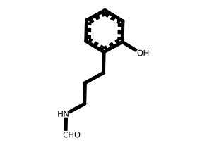 O=CN[CH]CCc1ccccc1O